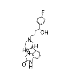 O=C1CN2c3c(cccc3[C@@H]3CN(CCCC(O)c4ccc(F)cc4)CC[C@@H]32)N1